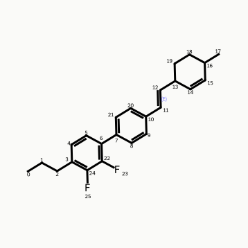 CCCc1ccc(-c2ccc(/C=C/C3C=CC(C)CC3)cc2)c(F)c1F